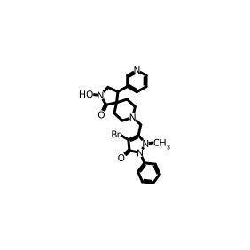 Cn1c(CN2CCC3(CC2)C(=O)N(O)CC3c2cccnc2)c(Br)c(=O)n1-c1ccccc1